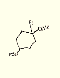 C[CH]C1(OC)CCC(CCCC)CC1